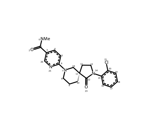 CNC(=O)c1ccc(N2CCC[C@@]3(CCN(c4ccccc4Cl)C3=O)C2)nc1